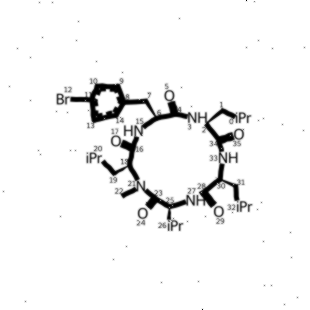 CC(C)C[C@@H]1NC(=O)[C@H](Cc2ccc(Br)cc2)NC(=O)[C@H](CC(C)C)N(C)C(=O)[C@H](C(C)C)NC(=O)[C@H](CC(C)C)NC1=O